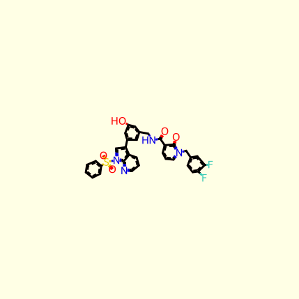 O=C(NCc1cc(O)cc(-c2cn(S(=O)(=O)c3ccccc3)c3ncccc23)c1)c1cccn(Cc2ccc(F)c(F)c2)c1=O